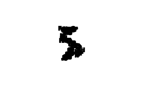 Cc1ccc(S(=O)(=O)n2cc(-c3ncc(F)c(N[C@@H]4CCC[C@H](OC(=O)O[C@H]5CCC[C@@H](Nc6nc(-c7cn(S(=O)(=O)c8ccc(C)cc8)c8ncc(F)cc78)ncc6F)C5)C4)n3)c3cc(F)cnc32)cc1